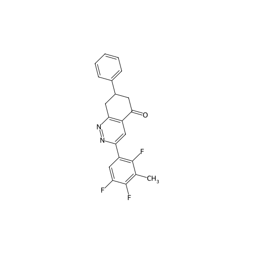 Cc1c(F)c(F)cc(-c2cc3c(nn2)CC(c2ccccc2)CC3=O)c1F